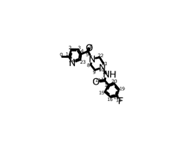 Cc1ccc(C(=O)N2CCN(NC(=O)c3ccc(F)cc3)CC2)cn1